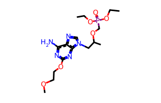 CCOP(=O)(COC(C)Cn1cnc2c(N)nc(OCCOC)nc21)OCC